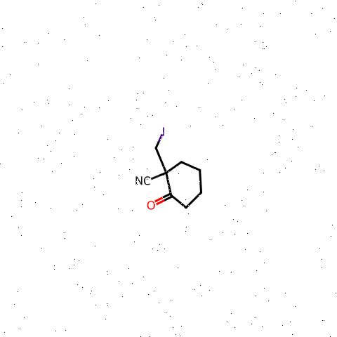 N#CC1(CI)CCCCC1=O